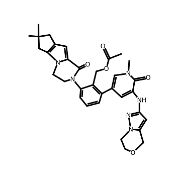 CC(=O)OCc1c(-c2cc(Nc3cc4n(n3)CCOC4)c(=O)n(C)c2)cccc1N1CCn2c(cc3c2CC(C)(C)C3)C1=O